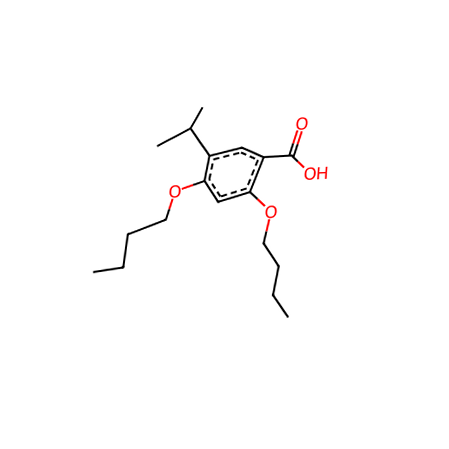 CCCCOc1cc(OCCCC)c(C(C)C)cc1C(=O)O